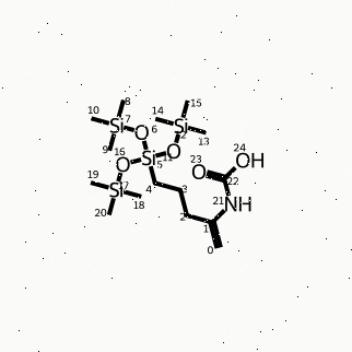 C=C(CCC[Si](O[Si](C)(C)C)(O[Si](C)(C)C)O[Si](C)(C)C)NC(=O)O